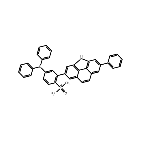 C[SH](C)(=O)c1ccc(N(c2ccccc2)c2ccccc2)cc1-c1cc2ccc3cc(-c4ccccc4)cc4[nH]c(c1)c2c34